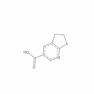 O=C(O)c1cnc2c(c1)CCS2